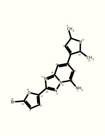 CC1C=C(c2cc(N)n3nc(-c4ccc(Br)o4)nc3c2)C(C)[N]1